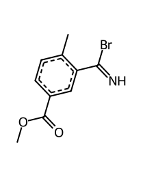 COC(=O)c1ccc(C)c(C(=N)Br)c1